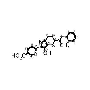 CN(Cc1ccccc1)C1CCc2nn(-c3ccc(C(=O)O)cn3)c(O)c2C1